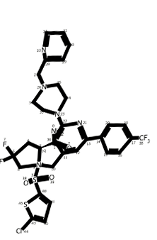 NC(=O)[C@@H]1CC(F)(F)C[N+]1(Cc1cc(-c2ccc(C(F)(F)F)cc2)nc(N2CCN(Cc3ccccn3)CC2)c1)S(=O)(=O)c1ccc(Cl)s1